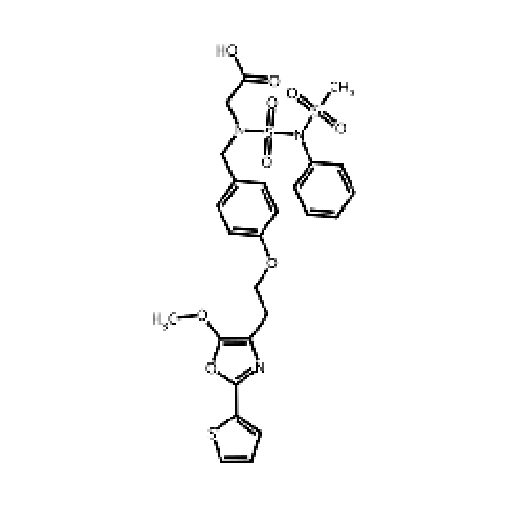 COc1oc(-c2cccs2)nc1CCOc1ccc(CN(CC(=O)O)S(=O)(=O)N(c2ccccc2)S(C)(=O)=O)cc1